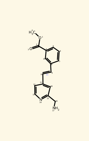 COC(=O)c1cccc(/C=C/c2ccnc(CN)c2)c1